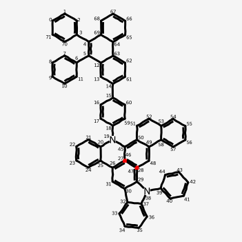 c1ccc(-c2c(-c3ccccc3)c3cc(-c4ccc(N(c5ccccc5-c5ccc6c(c5)c5ccccc5n6-c5ccccc5)c5cccc6c5ccc5ccccc56)cc4)ccc3c3ccccc23)cc1